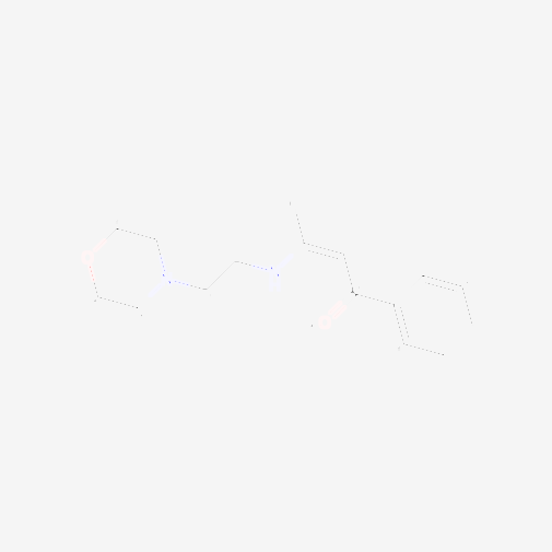 CC(=CC(=O)c1ccccc1)NCCN1CCOCC1